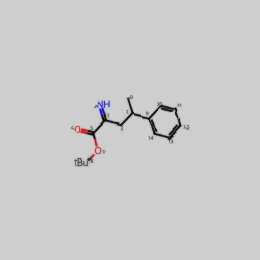 CC(CC(=N)C(=O)OC(C)(C)C)c1[c]cccc1